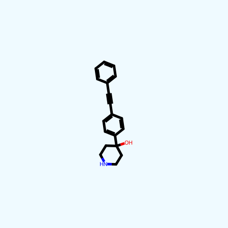 OC1(c2ccc(C#Cc3ccccc3)cc2)CCNCC1